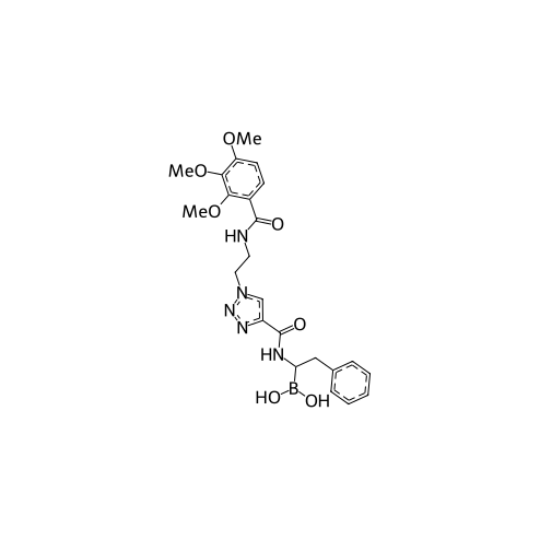 COc1ccc(C(=O)NCCn2cc(C(=O)NC(Cc3ccccc3)B(O)O)nn2)c(OC)c1OC